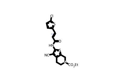 CCOC(=O)N1CCc2c(sc(NC(=O)/C=C/c3ccc(Cl)s3)c2C#N)C1